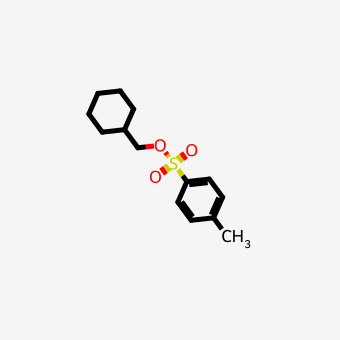 Cc1ccc(S(=O)(=O)OCC2CCCCC2)cc1